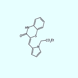 CCOC(=O)Cn1cccc1C=C1Sc2ccccc2NC1=O